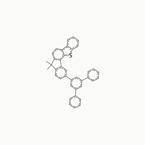 CC1(C)c2ccc(-c3cc(-c4ccccc4)cc(-c4ccccc4)c3)cc2-c2c1ccc1c2sc2ccccc21